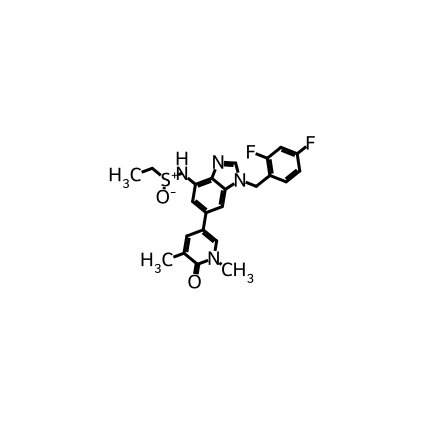 CC[S+]([O-])Nc1cc(-c2cc(C)c(=O)n(C)c2)cc2c1ncn2Cc1ccc(F)cc1F